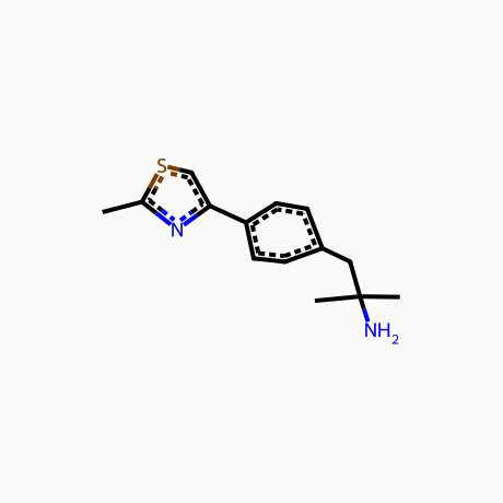 Cc1nc(-c2ccc(CC(C)(C)N)cc2)cs1